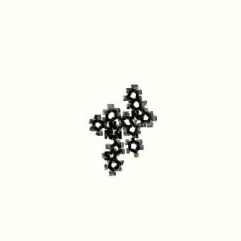 c1ccc(-c2ccc3c(-n4c5ccccc5c5cc6ccccc6cc54)cc(-c4ccccc4)c(-c4nc(-c5ccccc5)nc(-c5ccc6c(c5)sc5ccccc56)n4)c3c2)cc1